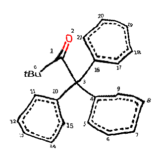 CC(C)(C)C(=O)C(c1ccccc1)(c1ccccc1)c1ccccc1